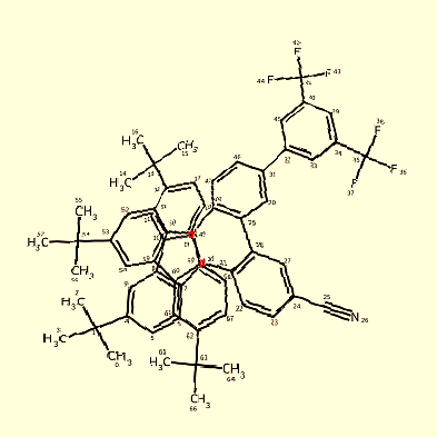 CC(C)(C)c1ccc2c(c1)c1cc(C(C)(C)C)ccc1n2-c1ccc(C#N)cc1-c1cc(-c2cc(C(F)(F)F)cc(C(F)(F)F)c2)ccc1-n1c2ccc(C(C)(C)C)cc2c2cc(C(C)(C)C)ccc21